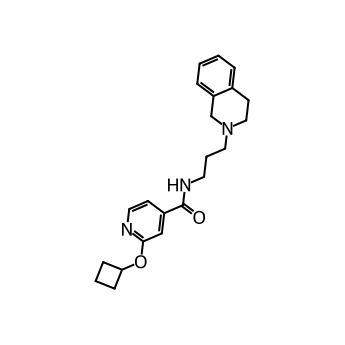 O=C(NCCCN1CCc2ccccc2C1)c1ccnc(OC2CCC2)c1